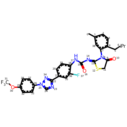 Cc1ccc(CC(C)C)c(N2C(=O)CSC2=NC(=O)Nc2ccc(-c3ncn(-c4ccc(OC(F)(F)F)cc4)n3)cc2F)c1